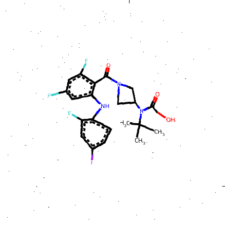 CC(C)(C)N(C(=O)O)C1CN(C(=O)c2c(F)cc(F)cc2Nc2ccc(I)cc2F)C1